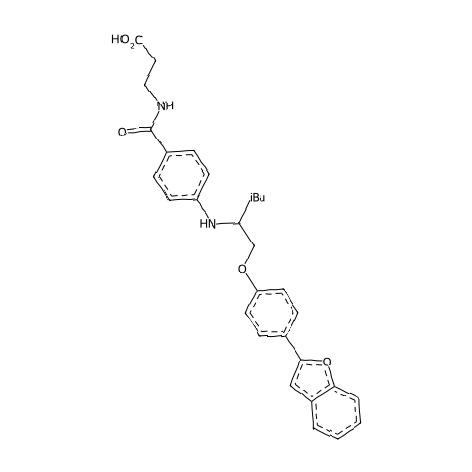 CCC(C)C(COc1ccc(-c2cc3ccccc3o2)cc1)Nc1ccc(C(=O)NCCC(=O)O)cc1